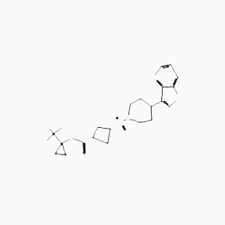 O=C(NC1(C(F)(F)F)CC1)[C@H]1C[C@@H](S(=O)(=O)N2CCC(c3coc4cccnc34)CC2)C1